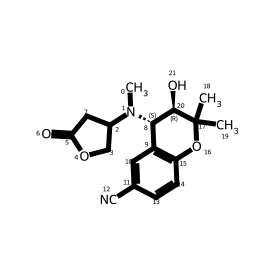 CN(C1COC(=O)C1)[C@H]1c2cc(C#N)ccc2OC(C)(C)[C@@H]1O